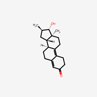 C[C@@H]1C[C@H]2[C@@H]3CCC4=CC(=O)CCC4=C3CC[C@]2(C)[C@H]1O